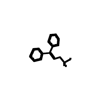 F[SiH2]CC=C(c1ccccc1)c1ccccc1